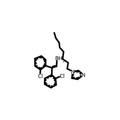 BC=C(c1ccccc1Cl)c1ccccc1Cl.CCCCCCCCn1ccnc1